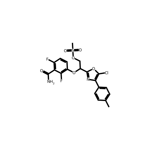 Cc1ccc(-c2nc(C(COS(C)(=O)=O)Oc3ccc(F)c(C(N)=O)c3F)oc2Cl)cc1